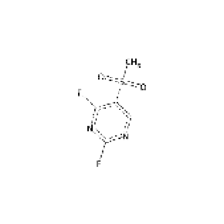 CS(=O)(=O)c1cnc(F)nc1F